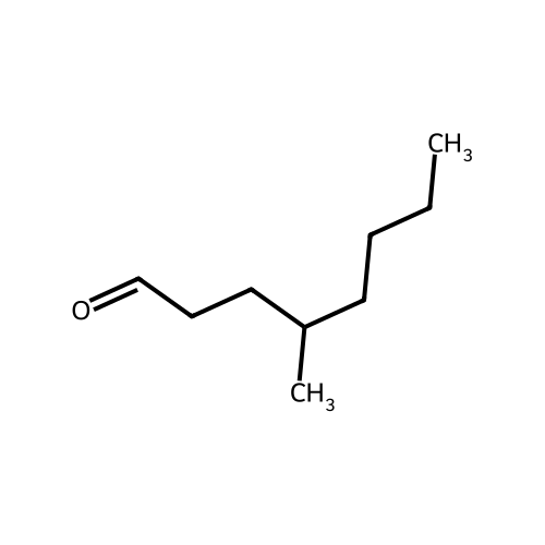 CCCCC(C)CCC=O